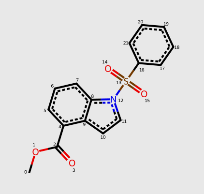 COC(=O)c1cccc2c1ccn2S(=O)(=O)c1ccccc1